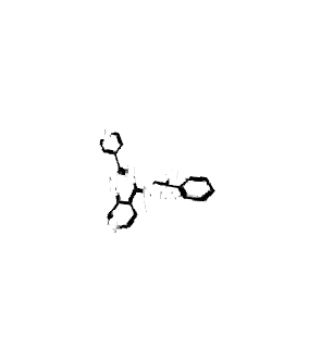 CN[C@](C)(CNc1nc(-c2ccncc2)nc2cnccc12)c1ccccc1